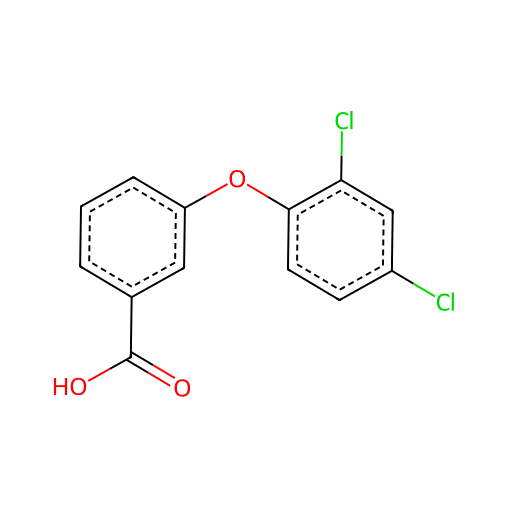 O=C(O)c1cccc(Oc2ccc(Cl)cc2Cl)c1